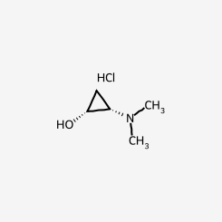 CN(C)[C@H]1C[C@H]1O.Cl